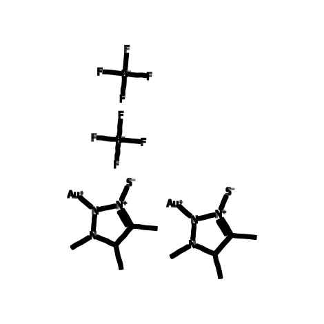 CC1=[N+]([S-])[N]([Au+])N(C)C1C.CC1=[N+]([S-])[N]([Au+])N(C)C1C.F[B-](F)(F)F.F[B-](F)(F)F